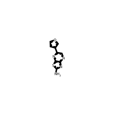 Nc1nc2ncc(-c3ccoc3)nc2s1